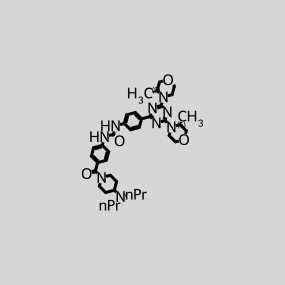 CCCN(CCC)C1CCN(C(=O)c2ccc(NC(=O)Nc3ccc(-c4nc(N5CCOC[C@@H]5C)nc(N5CCOC[C@@H]5C)n4)cc3)cc2)CC1